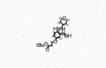 CC(C)(C)OC(=O)CCOc1ccc(NCC2CCOCC2)c(NO)c1